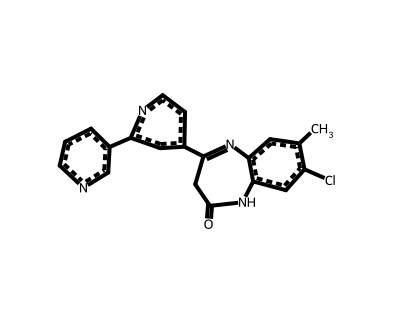 Cc1cc2c(cc1Cl)NC(=O)CC(c1ccnc(-c3cccnc3)c1)=N2